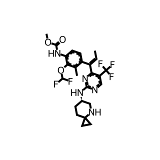 C/C=C(\c1ccc(NC(=O)OC)c(OC(F)F)c1C)c1nc(N[C@H]2CCC3(CC3)NC2)ncc1C(F)(F)F